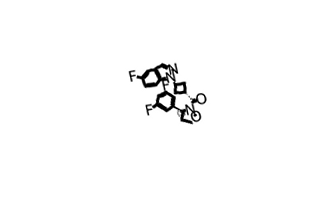 O=C([C@H]1C[C@H](n2ncc3cc(F)ccc32)C1)N1OCC[C@H]1c1cc(F)cc(F)c1